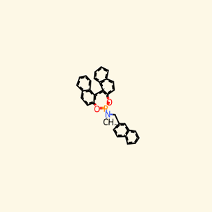 CN(Cc1ccc2ccccc2c1)p1oc2ccc3ccccc3c2c2c(ccc3ccccc32)o1